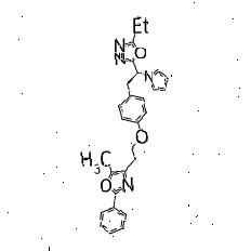 CCc1nnc([C@H](Cc2ccc(OCCc3nc(-c4ccccc4)oc3C)cc2)n2cccc2)o1